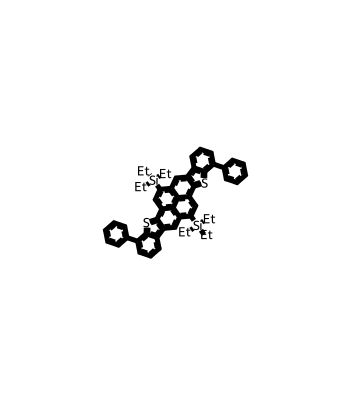 CC[Si](CC)(CC)c1cc2c3sc4c(-c5ccccc5)cccc4c3cc3c([Si](CC)(CC)CC)cc4c5sc6c(-c7ccccc7)cccc6c5cc1c4c32